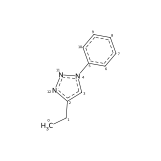 CCc1cn(-c2ccccc2)nn1